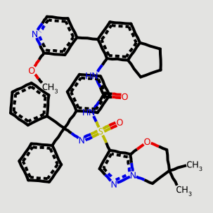 COc1cc(-c2ccc3c(c2NC(=O)NS(=O)(=NC(c2ccccc2)(c2ccccc2)c2ccccc2)c2cnn4c2OCC(C)(C)C4)CCC3)ccn1